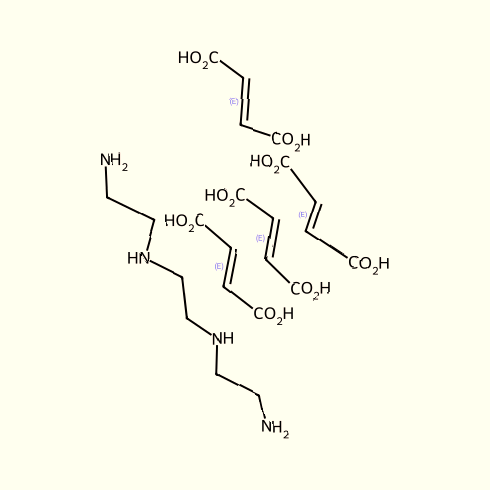 NCCNCCNCCN.O=C(O)/C=C/C(=O)O.O=C(O)/C=C/C(=O)O.O=C(O)/C=C/C(=O)O.O=C(O)/C=C/C(=O)O